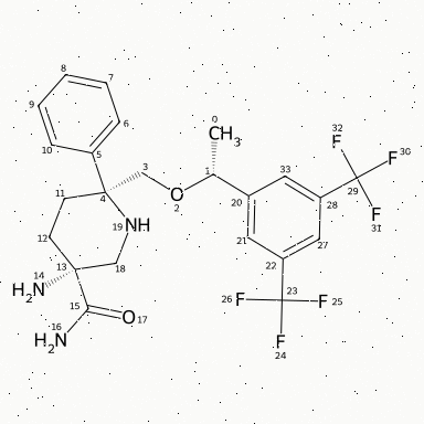 C[C@@H](OC[C@@]1(c2ccccc2)CC[C@](N)(C(N)=O)CN1)c1cc(C(F)(F)F)cc(C(F)(F)F)c1